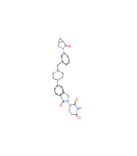 O=C1CCC(N2Cc3cc(C4CCN(Cc5cccc(N6CC7CC7C6=O)c5)CC4)ccc3C2=O)C(=O)N1